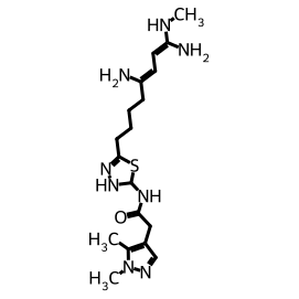 CN/C(N)=C/C=C(\N)CCCCC1=NNC(NC(=O)Cc2cnn(C)c2C)S1